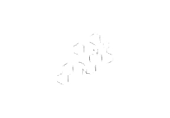 c1ccc2c(c1)Oc1ccccc1N2c1c2ccccc2c(-c2ccc3ccccc3c2)c2ncccc12